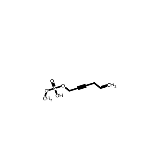 C=CCC#CCOP(=O)(O)OC